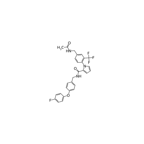 CC(=O)NCc1ccc(-n2cccc2C(=O)NCc2ccc(Oc3ccc(F)cc3)cc2)c(C(F)(F)F)c1